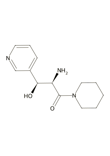 N[C@@H](C(=O)N1CCCCC1)[C@@H](O)c1cccnc1